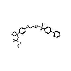 CCOC(=O)CC1(c2ccc(OCCCNS(=O)(=O)c3ccc(-c4ccccc4)cc3)cc2)COC1